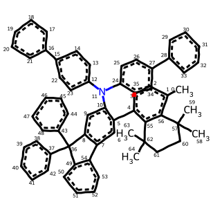 Cc1ccc(-c2cc3c(cc2N(c2ccc(-c4ccccc4)cc2)c2ccc(-c4ccccc4)cc2)C(c2ccccc2)(c2ccccc2)c2ccccc2-3)c2c1C(C)(C)CCC2(C)C